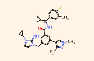 Cc1cc([C@@H](NC(=O)c2cc(Cn3ccn(C4CC4)c3=N)cc(-c3cn(C)nc3C(F)(F)F)c2)C2CC2)ccc1F